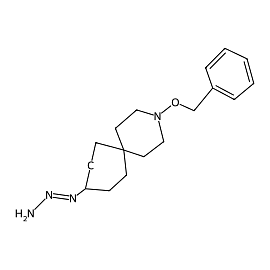 NN=NC1CCC2(CC1)CCN(OCc1ccccc1)CC2